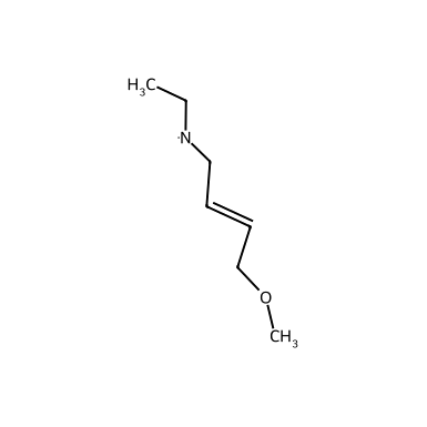 CC[N]CC=CCOC